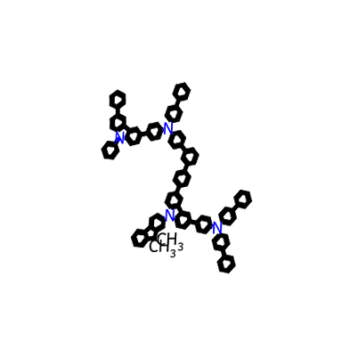 CC1(C)c2ccccc2-c2ccc(-n3c4ccc(-c5ccc(-c6cccc(-c7ccc(N(c8ccc(-c9ccccc9)cc8)c8ccc(-c9ccc%10c(c9)c9cc(-c%11ccccc%11)ccc9n%10-c9ccccc9)cc8)cc7)c6)cc5)cc4c4cc(-c5ccc(N(c6ccc(-c7ccccc7)cc6)c6ccc(-c7ccccc7)cc6)cc5)ccc43)cc21